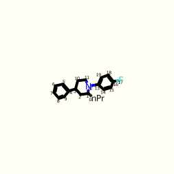 [CH2]CCC1CC(c2ccccc2)CCN1c1ccc(F)cc1